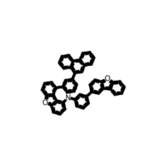 c1cc(Nc2cccc3oc4cccc(-c5cccc(-c6cc7ccccc7c7ccccc67)c5)c4c23)cc(-c2ccc3oc4ccccc4c3c2)c1